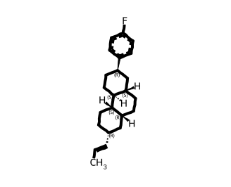 CC=C[C@@H]1CC[C@H]2[C@H](CC[C@H]3C[C@H](c4ccc(F)cc4)CC[C@@H]32)C1